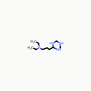 CCN(CC)CCCC1NCNCN1